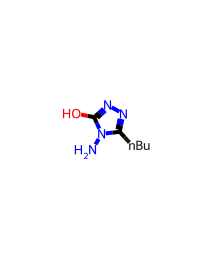 CCCCc1nnc(O)n1N